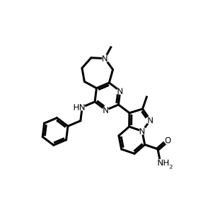 Cc1nn2c(C(N)=O)cccc2c1-c1nc2c(c(NCc3ccccc3)n1)CCCN(C)C2